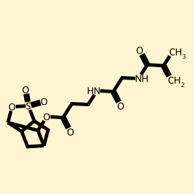 C=C(C)C(=O)NCC(=O)NCCC(=O)OC1C2CC3C1OS(=O)(=O)C3C2